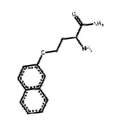 NC(=O)C(N)CCOc1ccc2ccccc2c1